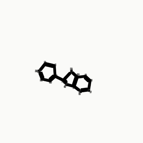 c1cc(-c2nc3nnccc3s2)ccn1